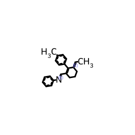 C/C=C1\CCCC(/C=N/c2ccccc2)=C1c1ccc(C)cc1